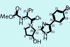 COC(=O)NC(C(=O)N1CCC(O)[C@H]1c1nc(-c2ccc(Br)cc2)c[nH]1)C(C)C